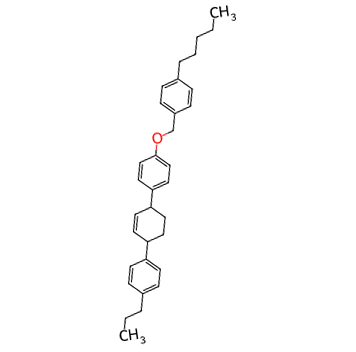 CCCCCc1ccc(COc2ccc(C3C=CC(c4ccc(CCC)cc4)CC3)cc2)cc1